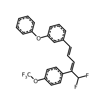 FC(F)C(=CC=Cc1cccc(Oc2ccccc2)c1)c1ccc(OC(F)(F)F)cc1